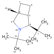 CC(C)(C)[C@@H]1C2CC[C@H]2CN1C(C)(C)C